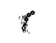 CN1CCN(CC(=O)NCc2ccc(Nc3ccc(N4CCCCC4)cc3)c(C(F)(F)F)c2)CC1